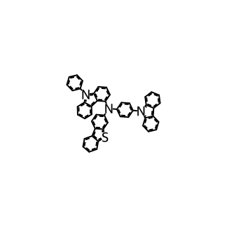 c1ccc(-n2c3ccccc3c3c(N(c4ccc(-n5c6ccccc6c6ccccc65)cc4)c4ccc5c(c4)sc4ccccc45)cccc32)cc1